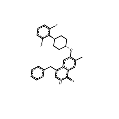 Cc1cc2c(=O)[nH]cc(Cc3ccccc3)c2cc1O[C@H]1CC[C@H](c2c(F)cccc2F)CC1